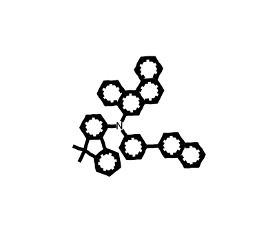 CC1(C)c2ccccc2-c2c(N(c3cccc(-c4ccc5ccccc5c4)c3)c3cc4ccc5ccccc5c4c4ccccc34)cccc21